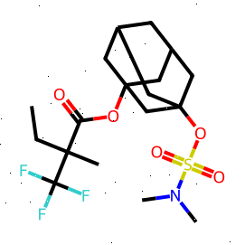 CCC(C)(C(=O)OC12CC3CC(C1)CC(OS(=O)(=O)N(C)C)(C3)C2)C(F)(F)F